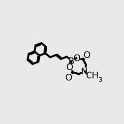 CN1CC(=O)OB(C/C=C/Cc2cccc3ccccc23)OC(=O)C1